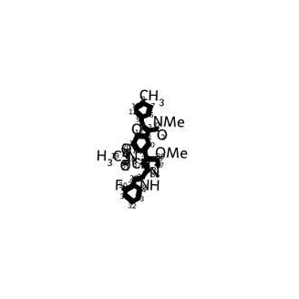 CNC(=O)c1c(-c2ccc(C)cc2)oc2cc(N(C)S(C)(=O)=O)c(-c3cc(-c4cc5c(F)cccc5[nH]4)ncc3OC)cc12